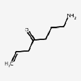 C=CCC(=O)CCCN